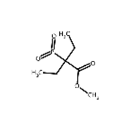 CCC(CC)(C(=O)OC)P(=O)=O